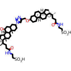 C[C@H](CCC(=O)NCCS(=O)(=O)O)[C@H]1CC[C@H]2C3CCC4C[C@H](OCc5cn([C@@H]6CC[C@@]7(C)C(C6)C[C@H](O)[C@@H]6C7CC[C@@]7(C)C6CC[C@@H]7[C@H](C)CCC(=O)NCCS(=O)(=O)O)nn5)CC[C@]4(C)[C@H]3CC[C@]12C